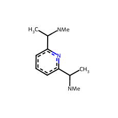 CNC(C)c1cccc(C(C)NC)n1